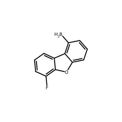 Bc1cccc2oc3c(F)cccc3c12